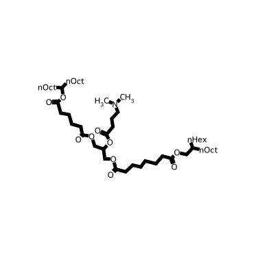 CCCCCCCCC(CCCCCC)COC(=O)CCCCCCC(=O)OCC(COC(=O)CCCCC(=O)OC(CCCCCCCC)CCCCCCCC)OC(=O)CCCN(C)C